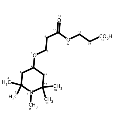 CN1C(C)(C)CC(OCCC(=O)OCCC(=O)O)CC1(C)C